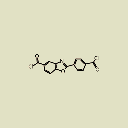 O=C(Cl)c1ccc(-c2nc3cc(C(=O)Cl)ccc3o2)cc1